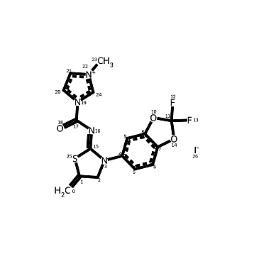 C=C1CN(c2ccc3c(c2)OC(F)(F)O3)C(=NC(=O)n2cc[n+](C)c2)S1.[I-]